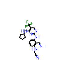 N#CCNc1cccc(Nc2ncc(C(F)(F)F)c(NC3CCCC3)n2)c1C=N